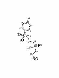 Cc1ccc(S(=O)(=O)OCCC(F)(F)CCN=O)cc1